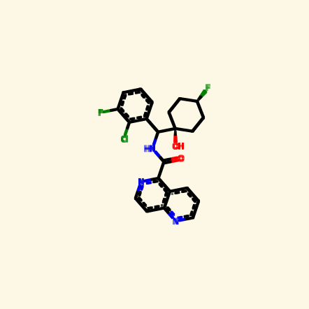 O=C(NC(c1cccc(F)c1Cl)[C@]1(O)CC[C@@H](F)CC1)c1nccc2ncccc12